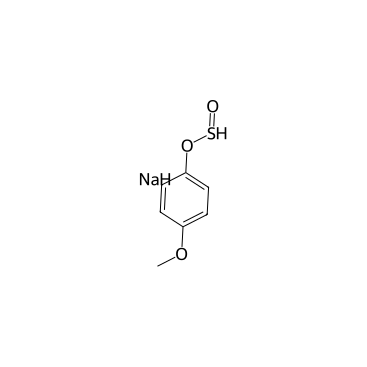 COc1ccc(O[SH]=O)cc1.[NaH]